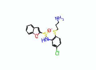 NCCCSc1ccc(Cl)cc1N[S+]([O-])c1cc2ccccc2o1